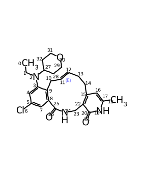 CCN(c1cc(Cl)cc2c1C/C=C/CCc1cc(C)[nH]c(=O)c1CNC2=O)C1CCOCC1